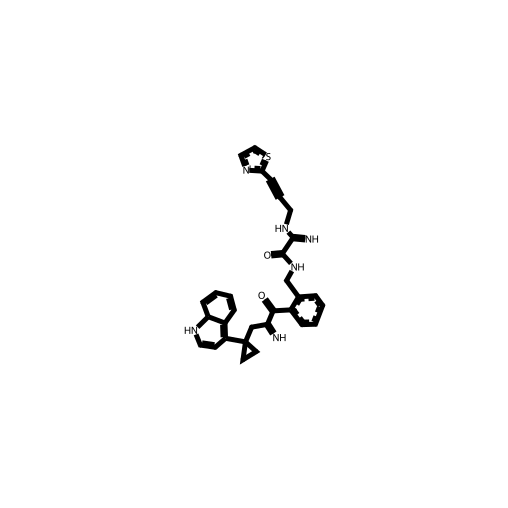 N=C(CC1(C2=C3C=CC=CC3NC=C2)CC1)C(=O)c1ccccc1CNC(=O)C(=N)NCC#Cc1nccs1